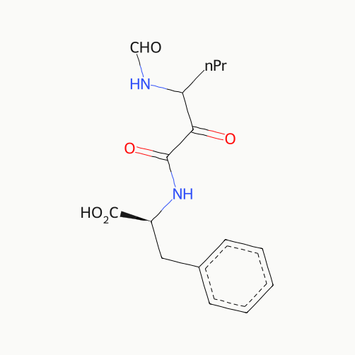 CCCC(NC=O)C(=O)C(=O)N[C@@H](Cc1ccccc1)C(=O)O